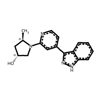 C[C@@H]1C[C@@H](O)CN1c1cc(-c2n[nH]c3ccccc23)ccn1